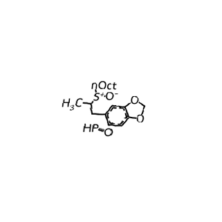 CCCCCCCC[S+]([O-])C(C)Cc1ccc2c(c1)OCO2.O=P